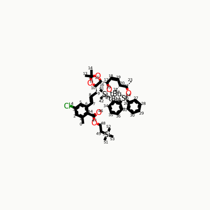 Cc1cc(Cl)cc(/C=C/C[C@@H]2OC(C)(C)O[C@@H]2C(/C=C\[C@@H](C)[C@H](C)O[Si](c2ccccc2)(c2ccccc2)C(C)(C)C)O[Si](C)(C)C(C)(C)C)c1C(=O)OCC[Si](C)(C)C